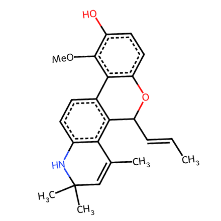 CC=CC1Oc2ccc(O)c(OC)c2-c2ccc3c(c21)C(C)=CC(C)(C)N3